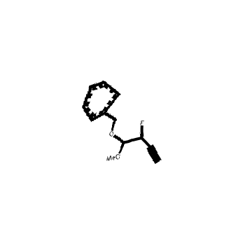 C#CC(F)C(OC)OCc1ccccc1